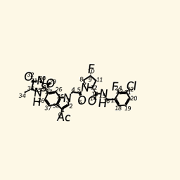 CC(=O)c1cn(CC(=O)N2C[C@H](F)C[C@H]2C(=O)NCc2cccc(Cl)c2F)c2cc(S3(=O)=NC(=O)[C@H](C)N3)ccc12